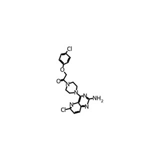 Nc1nc(N2CCN(C(=O)COc3ccc(Cl)cc3)CC2)c2nc(Cl)ccc2n1